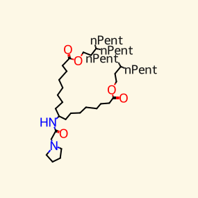 CCCCCC(CCCCC)CCOC(=O)CCCCCCCC(CCCCCCCC(=O)OCCC(CCCCC)CCCCC)NC(=O)CN1CCCC1